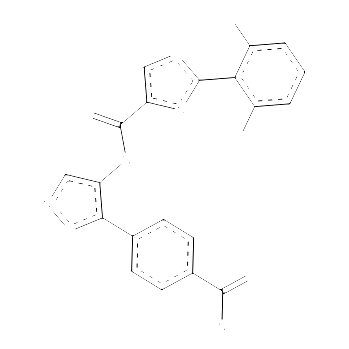 NC(=O)c1ccc(-c2sncc2NC(=O)c2csc(-c3c(F)cccc3F)n2)cc1